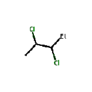 CCC(Cl)C(C)Cl